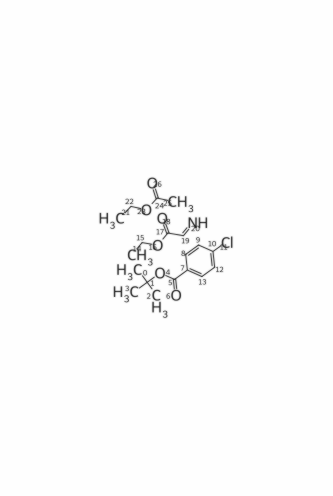 CC(C)(C)OC(=O)c1ccc(Cl)cc1.CCOC(=O)C=N.CCOC(C)=O